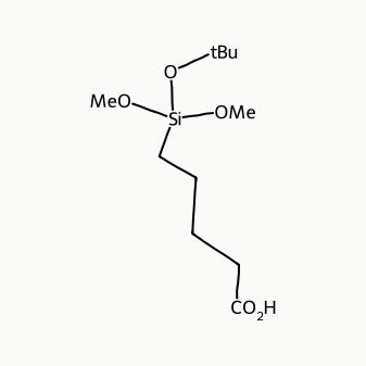 CO[Si](CCCCC(=O)O)(OC)OC(C)(C)C